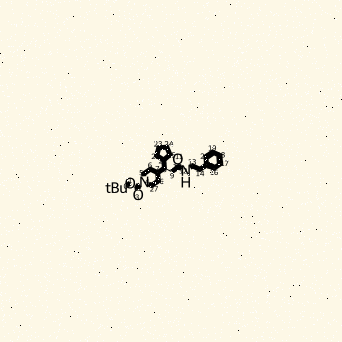 CC(C)(C)OC(=O)N1CCC([C@@H](CC(=O)NCCc2ccccc2)C2CCCC2)CC1